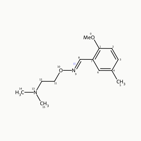 COc1ccc(C)cc1/C=N/OCCN(C)C